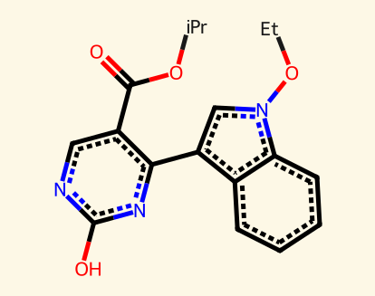 CCOn1cc(-c2nc(O)ncc2C(=O)OC(C)C)c2ccccc21